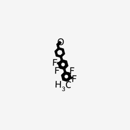 Cc1ccc(-c2ccc(C3CCC(C=O)CC3)c(F)c2F)c(F)c1F